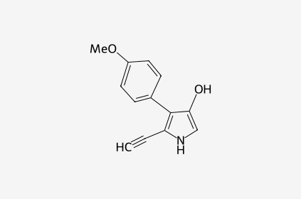 C#Cc1[nH]cc(O)c1-c1ccc(OC)cc1